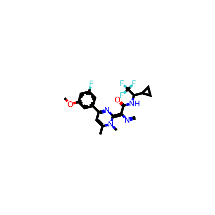 C=N/C(C(=O)NC(C1CC1)C(F)(F)F)=C1/N=C(c2cc(F)cc(OC)c2)C=C(C)N1C